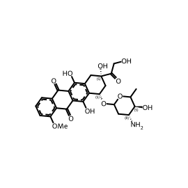 COc1cccc2c1C(=O)c1c(O)c3c(c(O)c1C2=O)C[C@@](O)(C(=O)CO)C[C@@H]3OC1C[C@@H](N)[C@H](O)C(C)O1